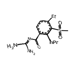 CCCc1c(C(=O)N=C(N)N)ccc(CC)c1S(C)(=O)=O